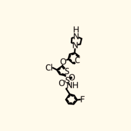 O=S(=O)(NCc1cccc(F)c1)c1cc(Cl)c(Oc2cccc(N3CCNCC3)c2)s1